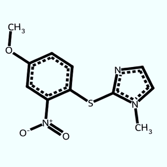 COc1ccc(Sc2nccn2C)c([N+](=O)[O-])c1